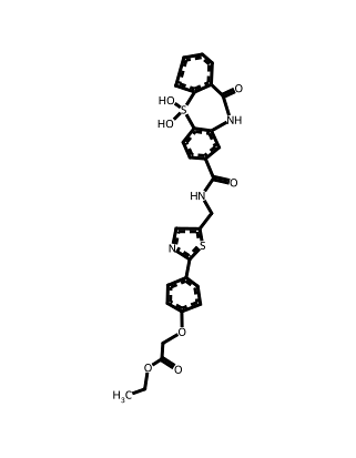 CCOC(=O)COc1ccc(-c2ncc(CNC(=O)c3ccc4c(c3)NC(=O)c3ccccc3S4(O)O)s2)cc1